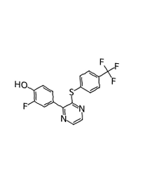 Oc1ccc(-c2nccnc2Sc2ccc(C(F)(F)F)cc2)cc1F